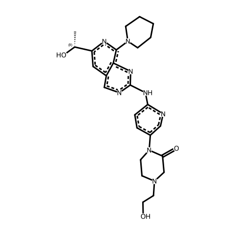 C[C@@H](O)c1cc2cnc(Nc3ccc(N4CCN(CCO)CC4=O)cn3)nc2c(N2CCCCC2)n1